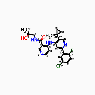 CC(O)CNC(=O)c1cnccc1Nc1cc(-c2cc(Cl)ccc2F)ncc1C1(C)CC1